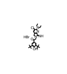 Br.CCN(CC)c1nc2c(cc1Cl)CN(CC(=O)c1cc(C(C)(C)C)c(O)c(C(C)(C)C)c1)C2=N